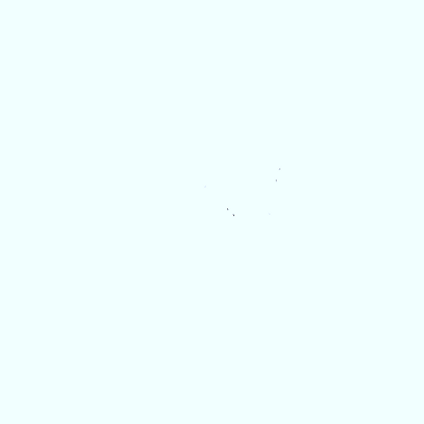 CCN(COC)C(C)C=C(C)C